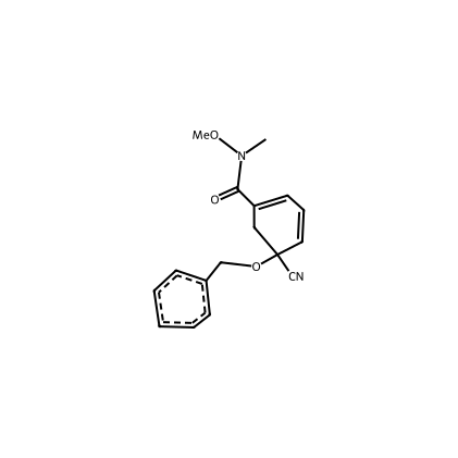 CON(C)C(=O)C1=CC=CC(C#N)(OCc2ccccc2)C1